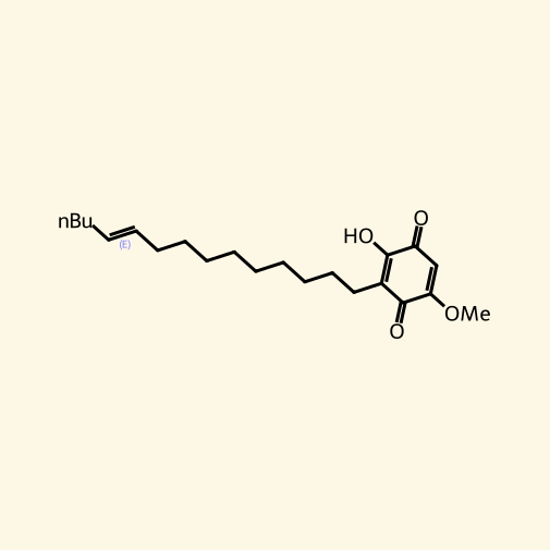 CCCC/C=C/CCCCCCCCCC1=C(O)C(=O)C=C(OC)C1=O